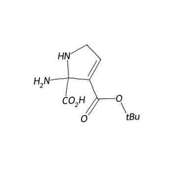 CC(C)(C)OC(=O)C1=CCNC1(N)C(=O)O